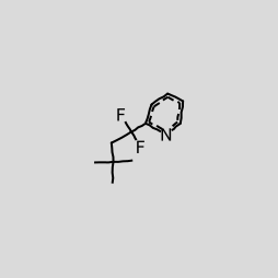 CC(C)(C)CC(F)(F)c1ccccn1